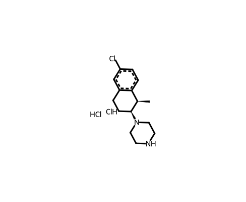 C[C@@H]1c2ccc(Cl)cc2CC[C@@H]1N1CCNCC1.Cl.Cl